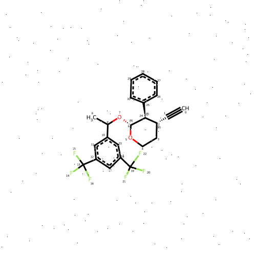 C#C[C@@H]1CCO[C@H](OC(C)c2cc(C(F)(F)F)cc(C(F)(F)F)c2)[C@H]1c1ccccc1